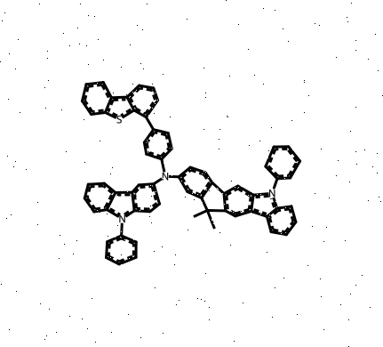 CC1(C)c2cc(N(c3ccc(-c4cccc5c4sc4ccccc45)cc3)c3ccc4c(c3)c3ccccc3n4-c3ccccc3)ccc2-c2cc3c(cc21)c1ccccc1n3-c1ccccc1